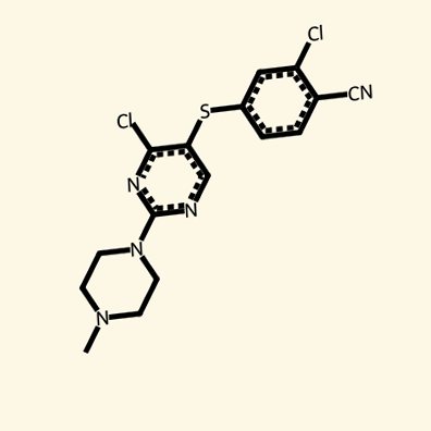 CN1CCN(c2ncc(Sc3ccc(C#N)c(Cl)c3)c(Cl)n2)CC1